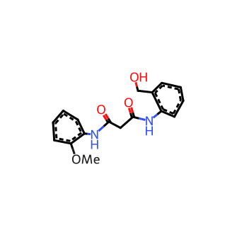 COc1ccccc1NC(=O)CC(=O)Nc1ccccc1CO